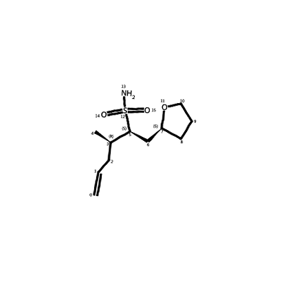 C=CC[C@@H](C)[C@H](C[C@@H]1CCCO1)S(N)(=O)=O